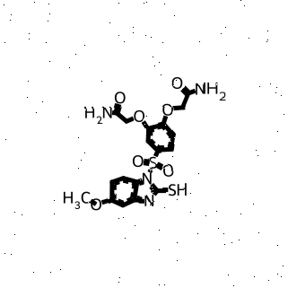 COc1ccc2c(c1)nc(S)n2S(=O)(=O)c1ccc(OCC(N)=O)c(OCC(N)=O)c1